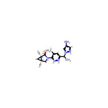 Cc1cc(C(C)n2cc(N)cn2)nnc1N1C[C@H]2C[C@H]2C1=O